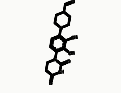 O=CC1CCN(c2ccc(N3CCC(=O)NC3=O)c(O)c2O)CC1